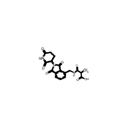 CC(C(=O)O)C(=O)NCc1cccc2c1C(=O)N(C1CCC(=O)NC1=O)C2=O